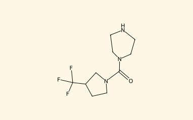 O=C(N1CCNCC1)N1CCC(C(F)(F)F)C1